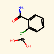 NC(=O)c1ccccc1Cl.OBO